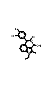 CCn1c(C)c(C(=O)O)c2c(C(C(=O)O)c3ccc(Cl)c(O)c3)cccc21